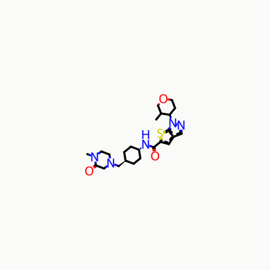 CC1COCCC1n1ncc2cc(C(=O)N[C@H]3CC[C@H](CN4CCN(C)C(=O)C4)CC3)sc21